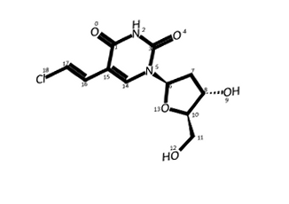 O=c1[nH]c(=O)n([C@H]2C[C@H](O)[C@@H](CO)O2)cc1/C=C/Cl